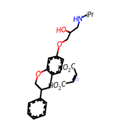 CC(C)NCC(O)COc1ccc2c(c1)OCC(c1ccccc1)C2.O=C(O)/C=C\C(=O)O